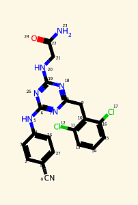 N#Cc1ccc(Nc2nc(Cc3c(Cl)cccc3Cl)nc(NCC(N)=O)n2)cc1